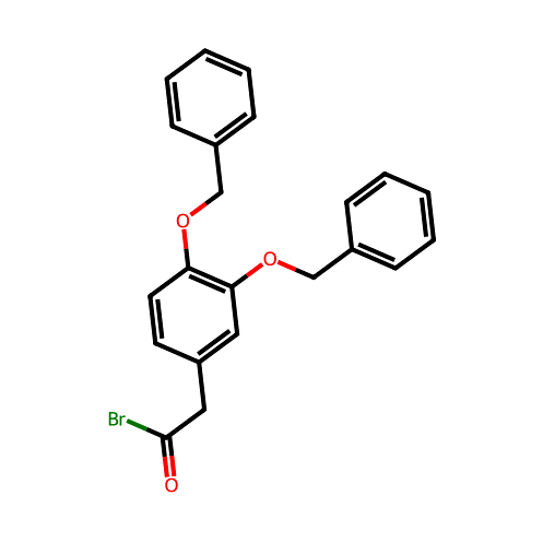 O=C(Br)Cc1ccc(OCc2ccccc2)c(OCc2ccccc2)c1